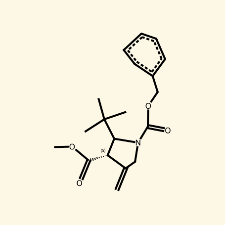 C=C1CN(C(=O)OCc2ccccc2)C(C(C)(C)C)[C@H]1C(=O)OC